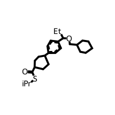 CCC(OCC1CCCCC1)c1ccc(C2CCC(C(=O)SC(C)C)CC2)cc1